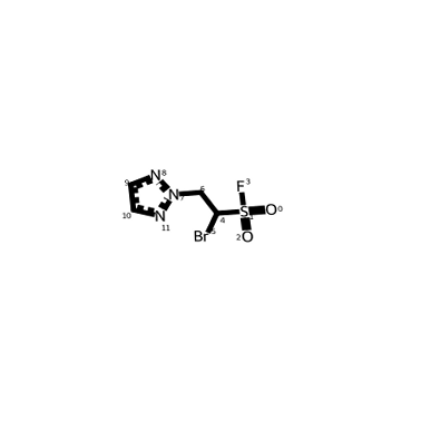 O=S(=O)(F)C(Br)Cn1nccn1